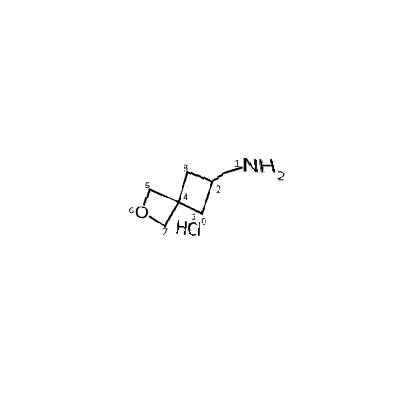 Cl.NC1CC2(COC2)C1